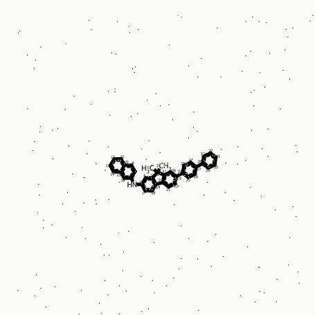 CC1(C)c2cc(Nc3ccc4ccccc4c3)ccc2-c2ccc(-c3ccc(-c4ccccc4)cc3)cc21